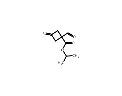 CC(C)OC(=O)C1(C=O)CC(=O)C1